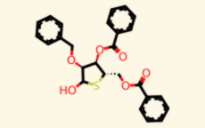 O=C(OC[C@@H]1SC(O)[C@@H](OCc2ccccc2)[C@H]1OC(=O)c1ccccc1)c1ccccc1